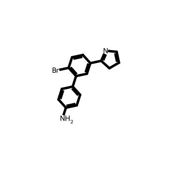 Nc1ccc(-c2cc(C3=NC=CC3)ccc2Br)cc1